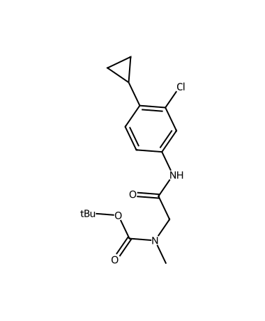 CN(CC(=O)Nc1ccc(C2CC2)c(Cl)c1)C(=O)OC(C)(C)C